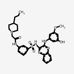 CCCC1CCN(CC(=O)Nc2cccc(S(=O)(=O)Nc3nc4ccccc4nc3Nc3cc(O)cc(OC)c3)c2)CC1